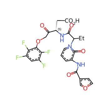 CCC(C(=O)N[C@@H](CC(=O)O)C(=O)COc1c(F)c(F)cc(F)c1F)n1cccc(NC(=O)c2ccoc2)c1=O